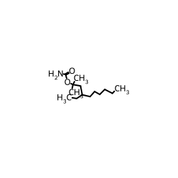 CCCCCCC(CC)CC(C)(C)OC(N)=O